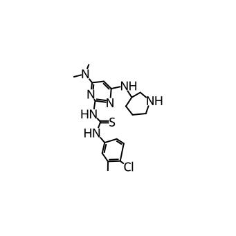 Cc1cc(NC(=S)Nc2nc(NC3CCCNC3)cc(N(C)C)n2)ccc1Cl